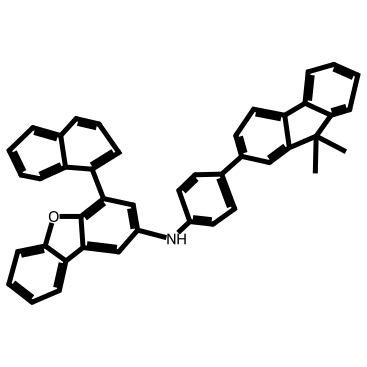 CC1(C)c2ccccc2-c2ccc(-c3ccc(Nc4cc(-c5cccc6ccccc56)c5oc6ccccc6c5c4)cc3)cc21